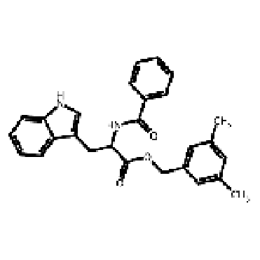 Cc1cc(C)cc(COC(=O)C(Cc2c[nH]c3ccccc23)NC(=O)c2ccccc2)c1